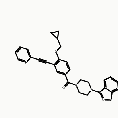 O=C(c1ccc(OCC2CC2)c(C#Cc2ccccn2)c1)N1CCN(c2noc3ccccc23)CC1